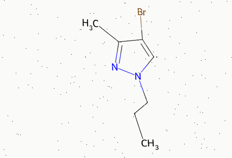 CCCn1[c]c(Br)c(C)n1